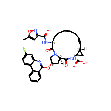 Cc1cc(C(=O)N[C@H]2CCCCCC=C[C@@H]3C[C@@]3(C(=O)O)NC(=O)[C@@H]3C[C@@H](Oc4nc5cc(F)ccc5c5ccccc45)CN3C2=O)no1